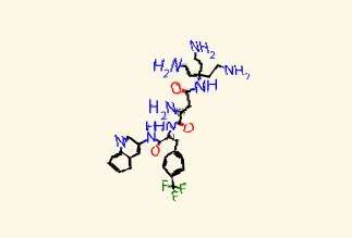 NCCC(CCN)(CCN)NC(=O)C[C@H](N)C(=O)N[C@@H](Cc1ccc(C(F)(F)F)cc1)C(=O)Nc1cnc2ccccc2c1